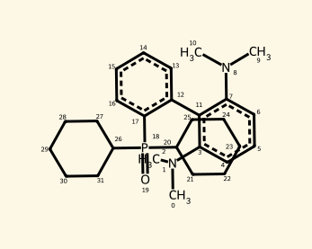 CN(C)c1cccc(N(C)C)c1-c1ccccc1P(=O)(C1CCCCC1)C1CCCCC1